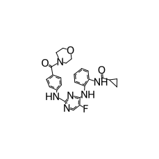 O=C(Nc1ccccc1Nc1nc(Nc2ccc(C(=O)N3CCOCC3)cc2)ncc1F)C1CC1